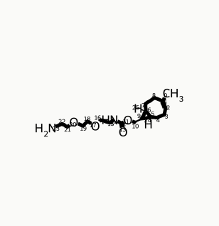 C/C1=C/CC[C@@H]2[C@H](CC1)[C@@H]2COC(=O)NCCOCCOCCN